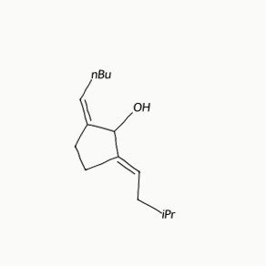 CCCCC=C1CCC(=CCC(C)C)C1O